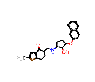 Cc1cc2c(s1)CCC(CNC1CCC(Oc3ccc4ccccc4c3)C1O)C2=O